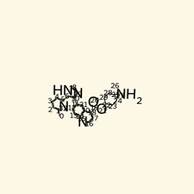 Cc1cccc(-c2[nH]cnc2-c2ccc3nccc(C(=O)O[C@H]4CC[C@](C)(N)CC4)c3c2)n1